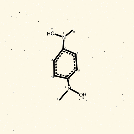 CN(O)c1ccc(N(C)O)cc1